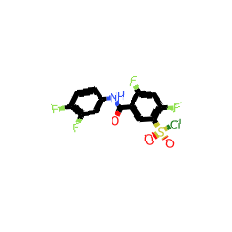 O=C(Nc1ccc(F)c(F)c1)c1cc(S(=O)(=O)Cl)c(F)cc1F